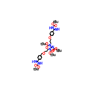 CC(C)(C)OC(=O)/N=C(\N(CCCOCc1ccc(C(=N)NC(=O)OC(C)(C)C)cc1)C(=O)OC(C)(C)C)N(CCCOc1ccc(C(=N)NC(=O)OC(C)(C)C)cc1)C(=O)OC(C)(C)C